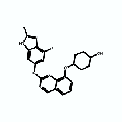 Cc1nc2c(F)cc(Nc3ncc4cccc(OC5CCC(O)CC5)c4n3)cc2[nH]1